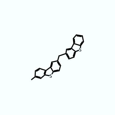 Cc1ccc2c(c1)sc1ccc(Cc3ccc4sc5ccccc5c4c3)cc12